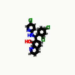 Oc1c(C(Nc2ccc(Cl)cn2)c2ccc(Cl)cc2Cl)ccc2cccnc12